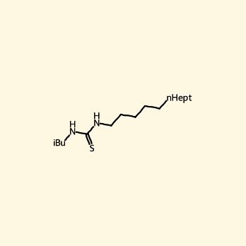 CCCCCCCCCCCCNC(=S)NC(C)CC